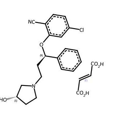 N#Cc1ccc(Cl)cc1O[C@H](CCN1CC[C@H](O)C1)c1ccccc1.O=C(O)/C=C/C(=O)O